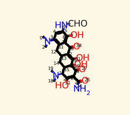 CN(C)c1cc(NC=O)c(O)c2c1CC1CC3[C@H](N(C)C)C(O)=C(C(N)=O)C(=O)C3(O)C(O)=C1C2=O